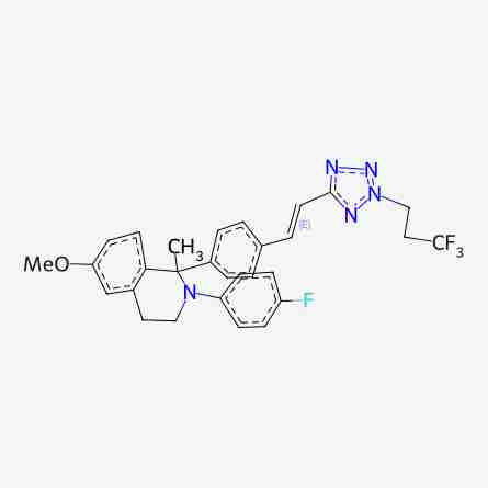 COc1ccc2c(c1)CCN(c1ccc(F)cc1)C2(C)c1ccc(/C=C/c2nnn(CCC(F)(F)F)n2)cc1